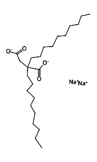 CCCCCCCCCCC(CCCCCCCCCC)(CC(=O)[O-])C(=O)[O-].[Na+].[Na+]